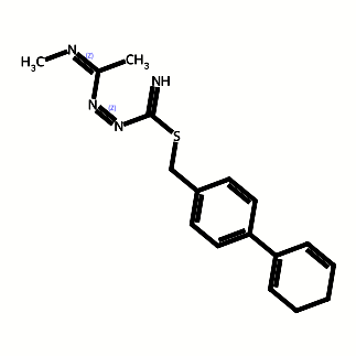 C/N=C(C)\N=N/C(=N)SCc1ccc(C2=CCCC=C2)cc1